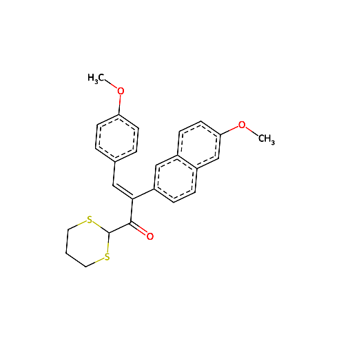 COc1ccc(C=C(C(=O)C2SCCCS2)c2ccc3cc(OC)ccc3c2)cc1